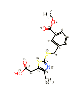 COC(=O)c1cccc(CSc2nc(C)c(CC(=O)O)s2)c1